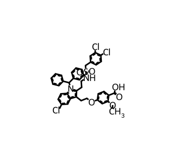 COc1cc(OCCc2c(CCNS(=O)(=O)Cc3ccc(Cl)c(Cl)c3)n(C(c3ccccc3)c3ccccc3)c3ccc(Cl)cc23)ccc1C(=O)O